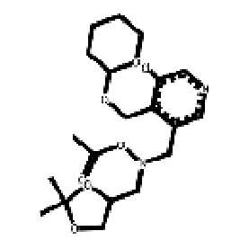 CC(=O)ON(Cc1cncc(Cl)c1COC1CCCCO1)CC1COC(C)(C)O1